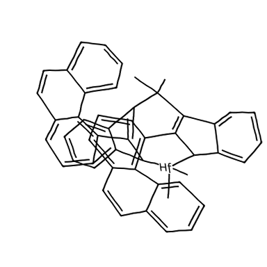 CC1(C)C2=C(c3cccc4ccc5ccccc5c34)[CH](c3ccccc32)[Hf]([CH3])([CH3])[CH]2C(c3cccc4ccc5ccccc5c34)=C1c1ccccc12